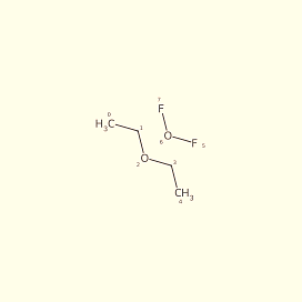 CCOCC.FOF